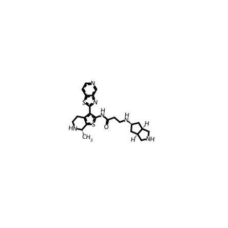 C[C@@H]1NCCc2c1sc(NC(=O)CCN[C@H]1C[C@H]3CNC[C@H]3C1)c2-c1nc2cnccc2s1